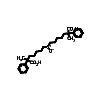 CC(CCCCC[S+]([O-])CCCCCC(C)(C(=O)O)c1ccccc1)(C(=O)O)c1ccccc1